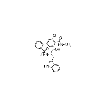 CNC(=O)c1ccc(-c2ccccc2S(=O)(=O)N[C@@H](CO)Cc2c[nH]c3ccccc23)cc1Cl